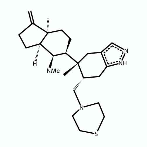 C=C1CC[C@@H]2[C@H](NC)[C@H]([C@]3(C)Cc4cn[nH]c4C[C@@H]3CN3CCSCC3)CC[C@]12C